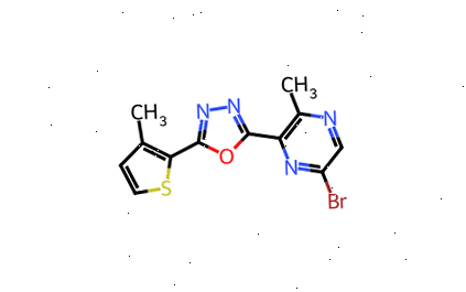 Cc1ccsc1-c1nnc(-c2nc(Br)cnc2C)o1